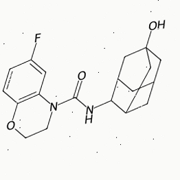 O=C(NC1C2CC3CC1CC(O)(C3)C2)N1CCOc2ccc(F)cc21